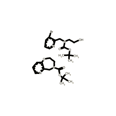 CC(C)(C)OC(=O)N(CCO)Cc1ncccc1Br.CC(C)(C)OC(=O)N1CCOc2cccnc2C1